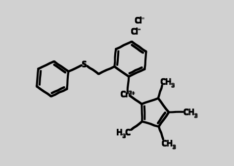 CC1=C(C)C(C)[C]([Cr+2][c]2ccccc2CSc2ccccc2)=C1C.[Cl-].[Cl-]